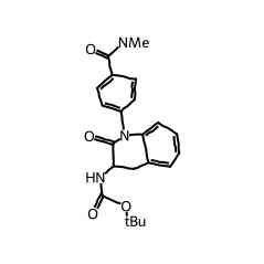 CNC(=O)c1ccc(N2C(=O)C(NC(=O)OC(C)(C)C)Cc3ccccc32)cc1